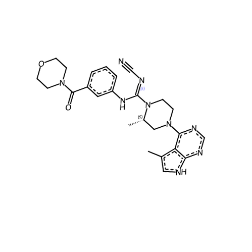 Cc1c[nH]c2ncnc(N3CCN(/C(=N/C#N)Nc4cccc(C(=O)N5CCOCC5)c4)[C@@H](C)C3)c12